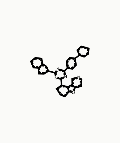 c1ccc(-c2ccc(-c3nc(-c4ccc5ccccc5c4)nc(-c4cccc5oc6ccncc6c45)n3)cc2)cc1